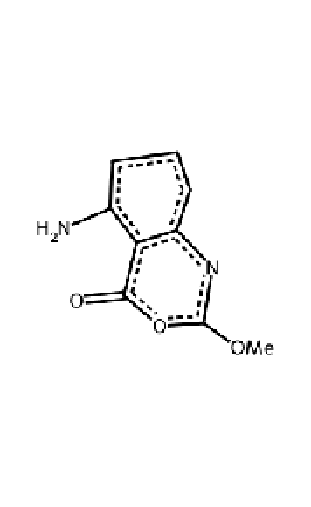 COc1nc2cccc(N)c2c(=O)o1